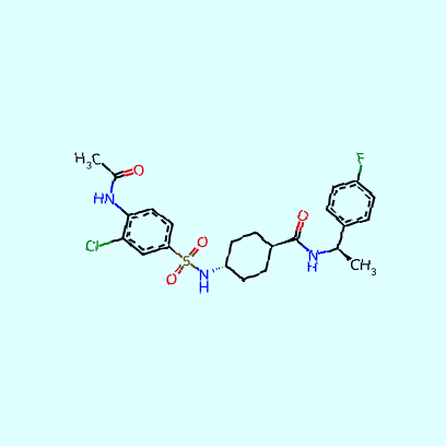 CC(=O)Nc1ccc(S(=O)(=O)N[C@H]2CC[C@H](C(=O)N[C@H](C)c3ccc(F)cc3)CC2)cc1Cl